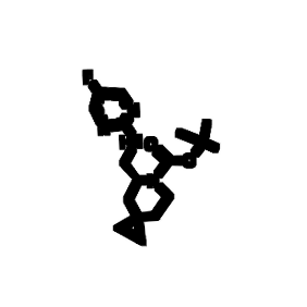 CC(C)(C)OC(=O)N1CCC2(CC2)C[C@H]1CNc1ncc(F)cn1